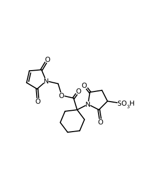 O=C1C=CC(=O)N1COC(=O)C1(N2C(=O)CC(S(=O)(=O)O)C2=O)CCCCC1